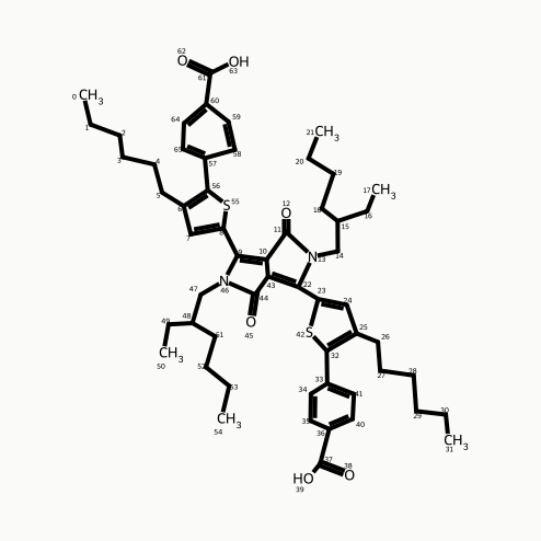 CCCCCCc1cc(C2=C3C(=O)N(CC(CC)CCCC)C(c4cc(CCCCCC)c(-c5ccc(C(=O)O)cc5)s4)=C3C(=O)N2CC(CC)CCCC)sc1-c1ccc(C(=O)O)cc1